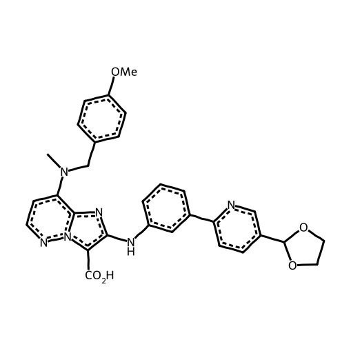 COc1ccc(CN(C)c2ccnn3c(C(=O)O)c(Nc4cccc(-c5ccc(C6OCCO6)cn5)c4)nc23)cc1